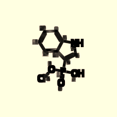 O=P(O)(OCl)c1c[nH]c2ccccc12